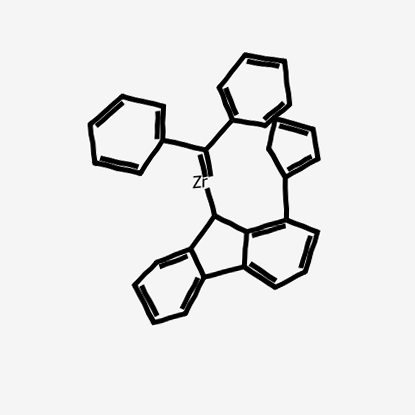 C1=CCC(c2cccc3c2[CH]([Zr]=[C](c2ccccc2)c2ccccc2)c2ccccc2-3)=C1